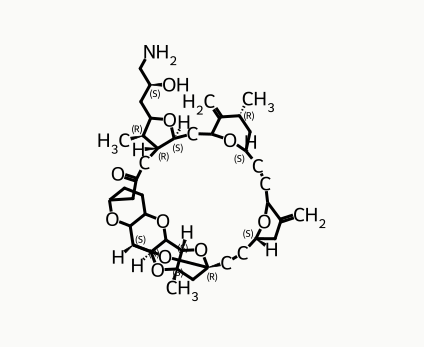 C=C1C[C@@H]2CC[C@@]34C[C@]5(C)O[C@@H]6C(OC7CCC(CC(=O)C[C@H]8[C@H](CC9O[C@@H](CCC1O2)C[C@@H](C)C9=C)OC(C[C@H](O)CN)[C@@H]8C)OC7[C@@H]6O3)[C@@H]5O4